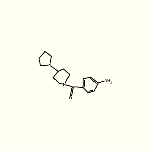 Nc1ccc(C(=O)N2CCC(N3CCCC3)CC2)cc1